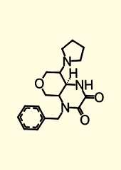 O=C1N[C@@H]2C(N3CCCC3)COCC2N(Cc2ccccc2)C1=O